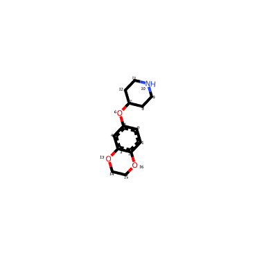 c1cc2c(cc1OC1CCNCC1)OCCO2